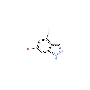 Brc1cc(I)c2cn[nH]c2c1